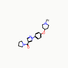 CC(C)N1CCC(Oc2ccc(-n3cc(C(=O)N4CCCC4)cn3)cc2)CC1